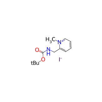 C[n+]1ccccc1CNC(=O)OC(C)(C)C.[I-]